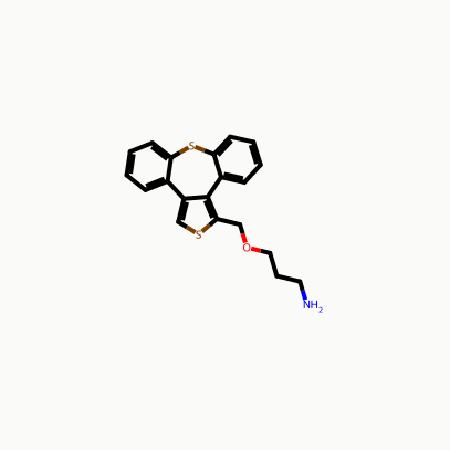 NCCCOCc1scc2c1-c1ccccc1Sc1ccccc1-2